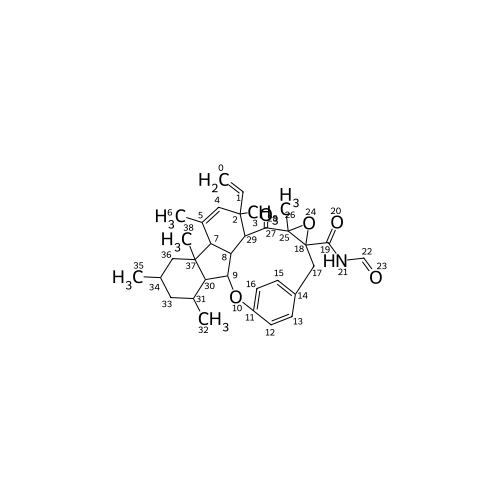 C=CC1(C)C=C(C)C2C3C(Oc4ccc(cc4)CC4(C(=O)NC=O)OC4(C)C(=O)C31)C1C(C)CC(C)CC21C